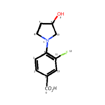 O=C(O)c1ccc(N2CCC(O)C2)c(F)c1